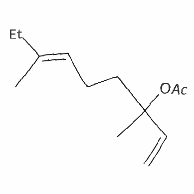 C=CC(C)(CCC=C(C)CC)OC(C)=O